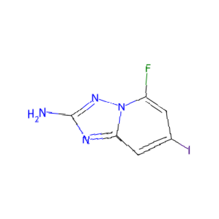 Nc1nc2cc(I)cc(F)n2n1